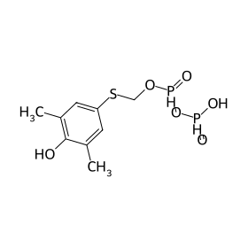 Cc1cc(SCO[PH](=O)O[PH](=O)O)cc(C)c1O